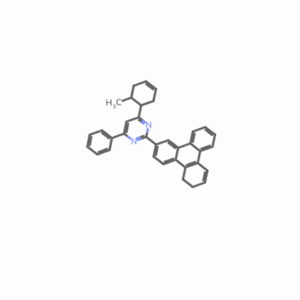 CC1CC=CCC1c1cc(-c2ccccc2)nc(-c2ccc3c4c(c5ccccc5c3c2)C=CCC4)n1